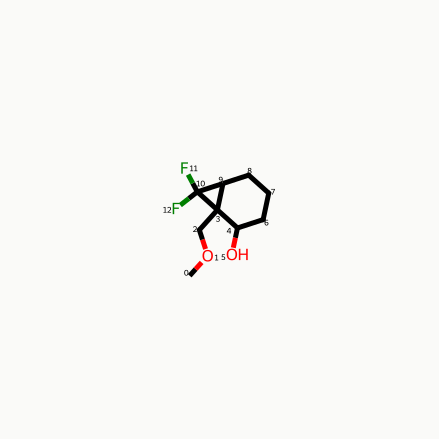 COCC12C(O)CCCC1C2(F)F